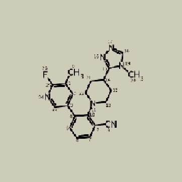 Cc1cc(-c2cccc(C#N)c2N2CCC(c3nncn3C)CC2)cnc1F